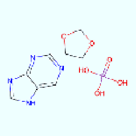 C1COCO1.O=P(O)(O)O.c1ncc2[nH]cnc2n1